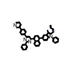 C=C/C=C\c1c(C)c2cc(-c3ccc(-c4cc(-c5ccc(-c6cccnc6)cc5)nc(-c5ccccc5)n4)c4ccccc34)ccc2n1-c1ccccc1